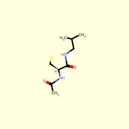 CC(=O)N[C@@H](CS)C(=O)NCC(C)C